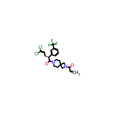 C=CC(=O)N1CC2(CCN(C(=O)[C@@H](CC=C(Cl)Cl)c3cccc(C(F)(F)F)c3)CC2)C1